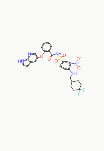 O=C(NS(=O)(=O)c1ccc(NCC2CCC(F)(F)CC2)c([N+](=O)[O-])c1)c1ccccc1Oc1cnc2[nH]ccc2c1